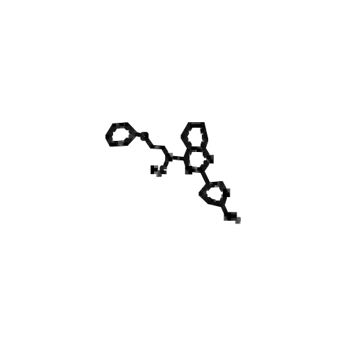 CN(CCOc1ccccc1)c1nc(-c2ccc(N)nc2)nc2ccccc12